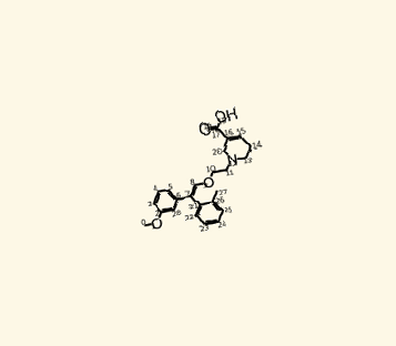 COc1cccc(C(=COCCN2CCC=C(C(=O)O)C2)c2ccccc2C)c1